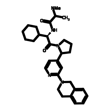 CNC(C)C(=O)N[C@H](C(=O)N1CCCC1c1ccnc(N2CCc3ccccc3C2)c1)C1CCCCC1